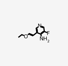 CCOC=Cc1cncc(F)c1N